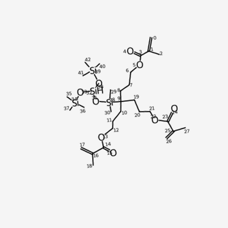 C=C(C)C(=O)OCCCC(CCCOC(=O)C(=C)C)(CCCOC(=O)C(=C)C)[Si](C)(C)O[SiH](O[Si](C)(C)C)O[Si](C)(C)C